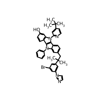 CC(C)(C)c1ccnc(-n2c3cc(O)ccc3c3c2c2ccc(CC(C)(C)c4cc(Br)cc(-n5ccnc5)c4)cc2n3-c2ccccc2)c1